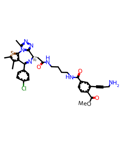 COC(=O)c1ccc(C(=O)NCCCCNC(=O)C[C@@H]2N=C(c3ccc(Cl)cc3)c3c(sc(C)c3C)-n3c(C)nnc32)cc1C#CCN